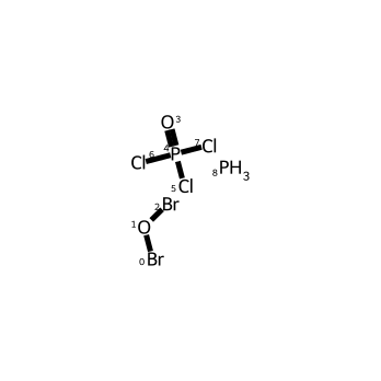 BrOBr.O=P(Cl)(Cl)Cl.P